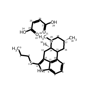 CCCSc1[nH]c2cccc3c2c1C[C@@H]1C3C[C@@H](C)CN1C.O=C(O)/C=C\C(=O)O